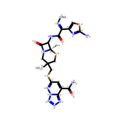 CON=C(C(=O)NC1C(=O)N2CC(CSc3cc(C(N)=O)c4nnnn4n3)(C(=O)O)CS[C@H]12)c1csc(N)n1